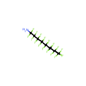 NC(F)(F)C(F)(F)C(F)(F)C(F)(F)C(F)(F)C(F)(F)C(F)(F)C(F)(F)F